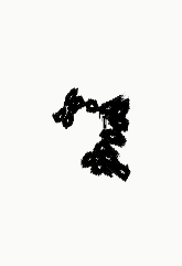 c1ccc([Si]2(c3ccccc3)c3ccccc3-c3cc(-c4ccc(-c5ccc6ccc7ccc(-c8ccc(-c9ccc%10c(c9)-c9ccccc9[Si]%10(c9ccccc9)c9ccccc9)cc8)nc7c6n5)cc4)ccc32)cc1